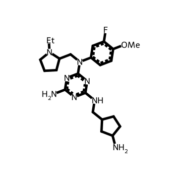 CCN1CCCC1CN(c1ccc(OC)c(F)c1)c1nc(N)nc(NCC2CCC(N)C2)n1